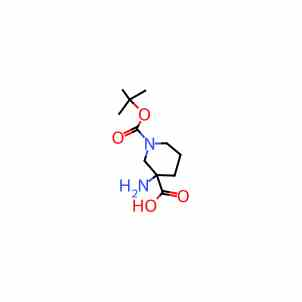 CC(C)(C)OC(=O)N1CCCC(N)(C(=O)O)C1